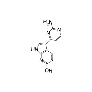 Nc1nccc(-c2c[nH]c3nc(O)ccc23)n1